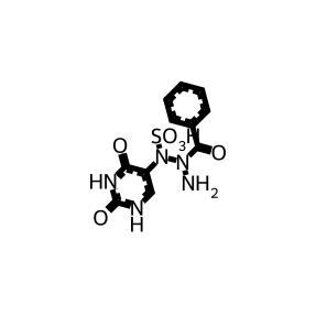 NN(C(=O)c1ccccc1)N(c1c[nH]c(=O)[nH]c1=O)S(=O)(=O)O